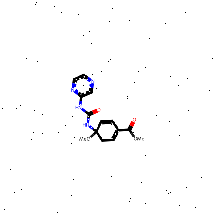 COC(=O)C1=CCC(NC(=O)Nc2cnccn2)(OC)C=C1